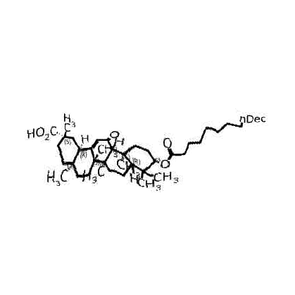 CCCCCCCCCCCCCCCCCC(=O)O[C@H]1CC[C@]2(C)[C@H]3C(=O)C=C4[C@@H]5C[C@@](C)(C(=O)O)CC[C@]5(C)CC[C@@]4(C)[C@]3(C)CC[C@H]2C1(C)C